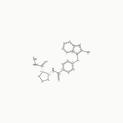 CC(C)c1nc2ccccn2c1Cc1ccc(C(=O)N[C@@H]2CCC[C@@H]2C(=O)NO)cc1